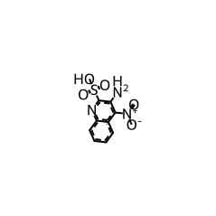 Nc1c(S(=O)(=O)O)nc2ccccc2c1[N+](=O)[O-]